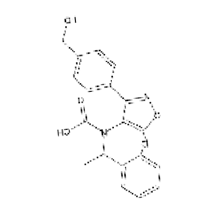 Cc1onc(-c2ccc(CO)cc2)c1N(C(=O)O)C(C)c1ccccc1Cl